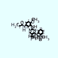 C=CC(=O)Nc1ccc(OC)c(Nc2ncc(C(F)(F)F)c(Nc3ccccc3P(C)(C)=O)n2)c1